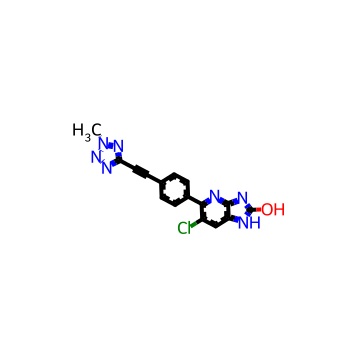 Cn1nnc(C#Cc2ccc(-c3nc4nc(O)[nH]c4cc3Cl)cc2)n1